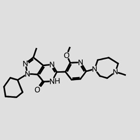 COc1nc(N2CCCN(C)CC2)ccc1-c1nc2c(C)nn(C3CCCCC3)c2c(=O)[nH]1